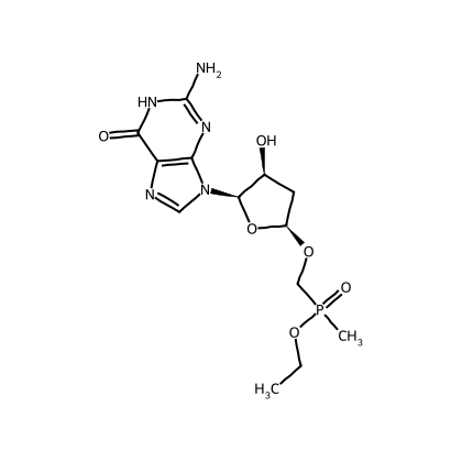 CCOP(C)(=O)CO[C@@H]1C[C@H](O)[C@H](n2cnc3c(=O)[nH]c(N)nc32)O1